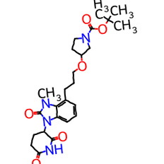 Cn1c(=O)n(C2CCC(=O)NC2=O)c2cccc(CCCOC3CCN(C(=O)OC(C)(C)C)C3)c21